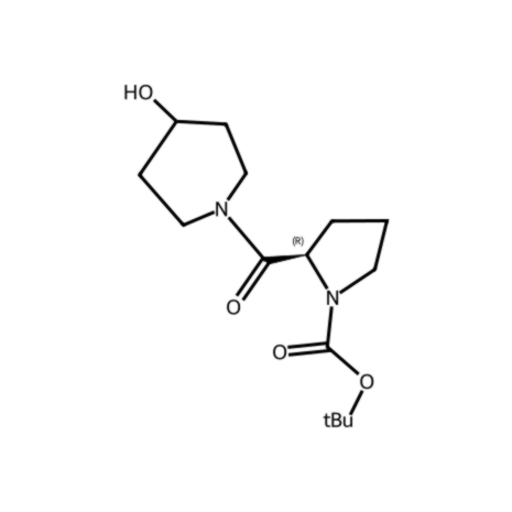 CC(C)(C)OC(=O)N1CCC[C@@H]1C(=O)N1CCC(O)CC1